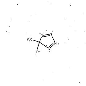 CC(C)C1(C(F)(F)F)N=NN=N1